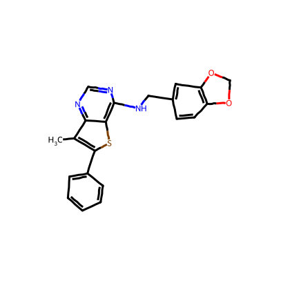 Cc1c(-c2ccccc2)sc2c(NCc3ccc4c(c3)OCO4)ncnc12